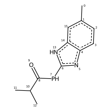 Cc1ccc2nc(PC(=O)C(C)C)[nH]c2c1